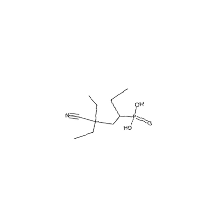 CCC(CC(C#N)(CC)CC)P(=O)(O)O